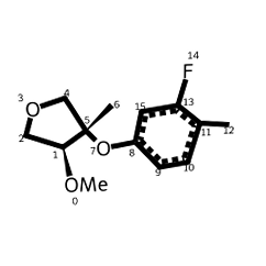 CO[C@H]1COC[C@]1(C)Oc1ccc(C)c(F)c1